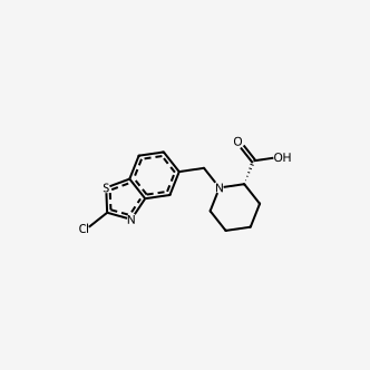 O=C(O)[C@@H]1CCCCN1Cc1ccc2sc(Cl)nc2c1